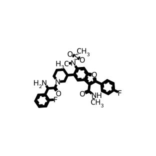 CNC(=O)c1c(-c2ccc(F)cc2)oc2cc(N(C)S(C)(=O)=O)c(C3CCCN(C(=O)C(N)c4ccccc4F)C3)cc12